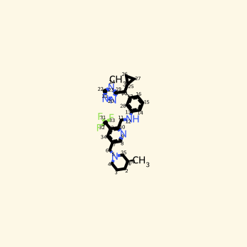 C[C@H]1CCCN(Cc2cnc(CNc3cccc([C@H](c4nncn4C)C4CC4)c3)c(C(F)(F)F)c2)C1